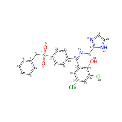 O=S(=O)(Cc1ccccc1)c1ccc(C(=NCc2ncc[nH]2)c2cc(Cl)cc(Cl)c2O)cc1